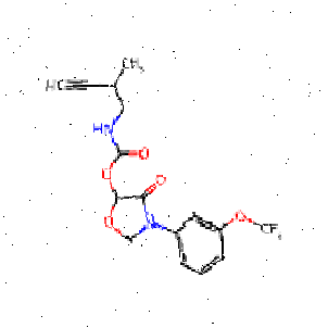 C#CC(C)CNC(=O)OC1OCN(c2cccc(OC(F)(F)F)c2)C1=O